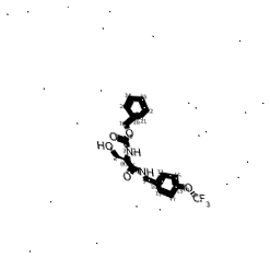 O=C(N[C@H](CO)C(=O)NCc1ccc(OC(F)(F)F)cc1)OCc1ccccc1